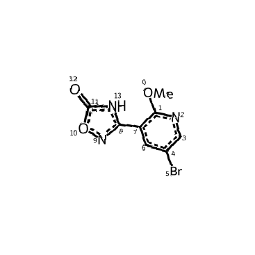 COc1ncc(Br)cc1-c1noc(=O)[nH]1